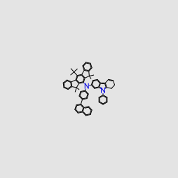 CC(C)(C)c1c2c(c(N(c3ccc(-c4cccc5ccccc45)cc3)c3ccc4c5c(n(-c6ccccc6)c4c3)CCC=C5)c3c1-c1ccccc1C3(C)C)C(C)(C)c1ccccc1-2